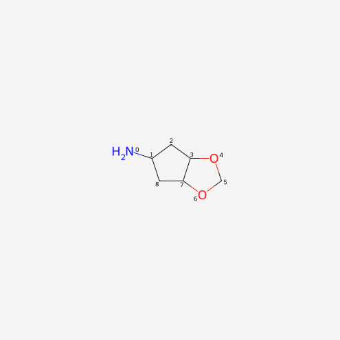 NC1CC2OCOC2C1